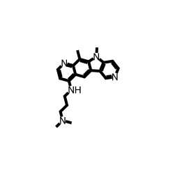 Cc1c2nccc(NCCCN(C)C)c2cc2c3cnccc3n(C)c12